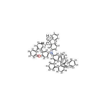 CC1(C)c2ccccc2-c2ccc(N(c3ccc4c(c3)-c3ccccc3-c3ccccc3O4)c3ccc4c(c3)-c3ccccc3-c3ccccc3C43c4ccccc4-c4c3ccc3ccccc43)cc21